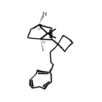 CC1(C)[C@@H]2C=C(C3(CCc4ccccc4)CCC3)[C@@]1(C)CC2